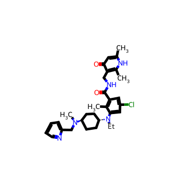 CCN(c1cc(Cl)cc(C(=O)NCc2c(C)[nH]c(C)cc2=O)c1C)[C@H]1CC[C@H](N(C)Cc2ccccn2)CC1